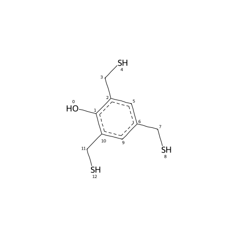 Oc1c(CS)cc(CS)cc1CS